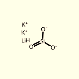 O=[Si]([O-])[O-].[K+].[K+].[LiH]